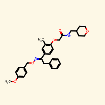 COc1ccc(CO/N=C(\Cc2ccccc2)c2ccc(OCC(=O)NCC3CCOCC3)c(C)c2)cc1